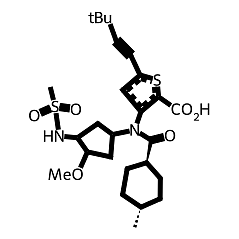 COC1CC(N(c2cc(C#CC(C)(C)C)sc2C(=O)O)C(=O)[C@H]2CC[C@H](C)CC2)CC1NS(C)(=O)=O